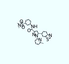 Cc1cccc(-n2nc(C(=O)Nc3cccc(S(=O)(=O)N(C)C)c3)cc2-c2ccc3ncsc3c2)n1